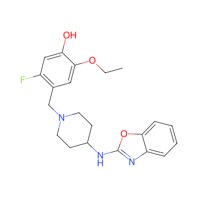 CCOc1cc(CN2CCC(Nc3nc4ccccc4o3)CC2)c(F)cc1O